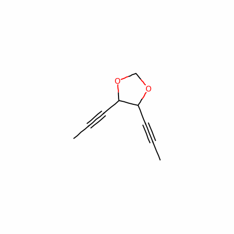 CC#CC1OCOC1C#CC